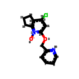 [O-][n+]1c(OCc2ccccn2)cc(Cl)c2c1CCC2